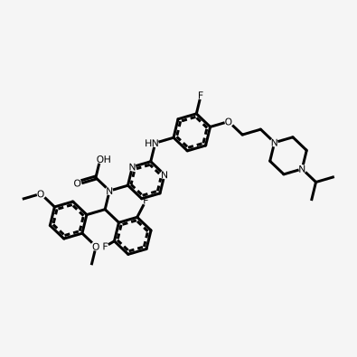 COc1ccc(OC)c(C(c2c(F)cccc2F)N(C(=O)O)c2ccnc(Nc3ccc(OCCN4CCN(C(C)C)CC4)c(F)c3)n2)c1